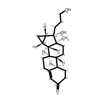 C[C@]12CC[C@H]3[C@@H](CCC4=CC(=O)CC[C@@H]43)[C@@H]1[C@@H]1C[C@@H]1[C@@]2(O)CCCO